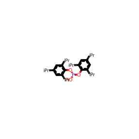 CC(C)c1cc(C(C)C)c(OP(O)Oc2c(C(C)C)cc(C(C)C)cc2C(C)C)c(C(C)C)c1